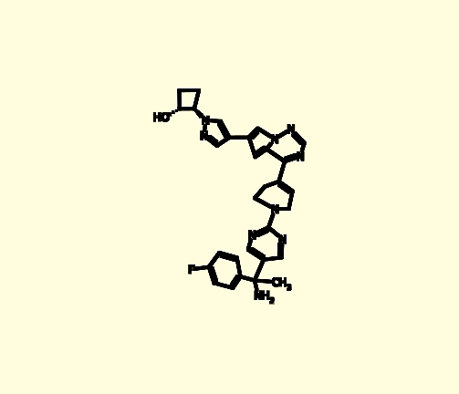 CC(N)(c1ccc(F)cc1)c1cnc(N2CC=C(c3ncnn4cc(-c5cnn([C@@H]6CC[C@H]6O)c5)cc34)CC2)nc1